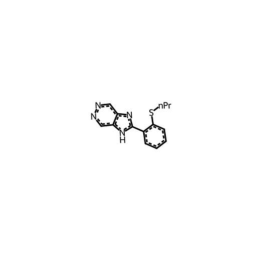 CCCSc1ccccc1-c1nc2cnncc2[nH]1